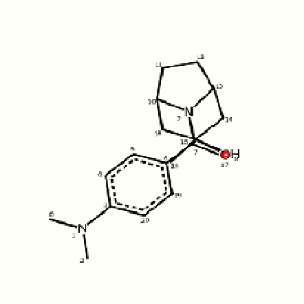 CN(C)c1ccc(C(=O)N2C3CCC2CC(C)(O)C3)cc1